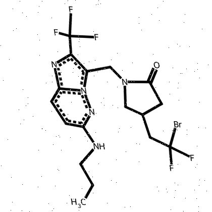 CCCNc1ccc2nc(C(F)(F)F)c(CN3CC(CC(F)(F)Br)CC3=O)n2n1